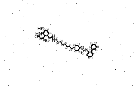 O=C(Nc1ccccc1-c1ccccc1)OC1CCN(CCCCCCCCNC[C@H](O)c2ccc(O)c3[nH]c(=O)ccc23)CC1